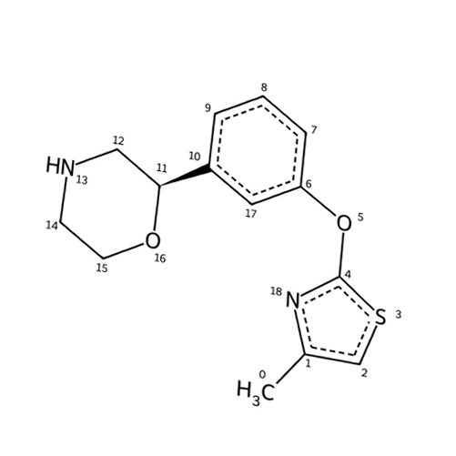 Cc1csc(Oc2cccc([C@@H]3CNCCO3)c2)n1